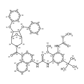 COC(=O)Nc1cc(C(C)(C)C)cc(NC(=O)Nc2ccc(C(=O)N3CC4OC(C3)C(Oc3ccccc3)C4Oc3ccccc3)c3ccccc23)c1OC